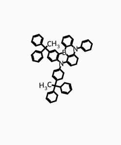 CC(c1ccccc1)(c1ccccc1)c1ccc2c(c1)B1C3=C(CCC=C3N2C2=CC=C(C(C)(C3=CC=CCC3)C3C=CC=CC3)CC2)N(C2=CCCC=C2)c2ccccc21